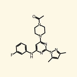 CC(=O)N1CCN(c2cc(Nc3cccc(F)c3)nc(-n3nc(C)cc3C)n2)CC1